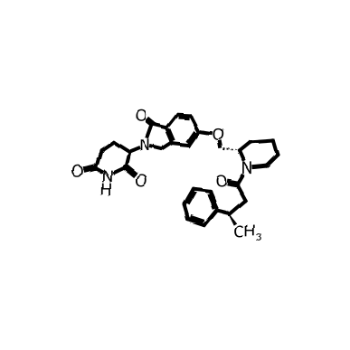 C[C@H](CC(=O)N1CCCC[C@H]1COc1ccc2c(c1)CN(C1CCC(=O)NC1=O)C2=O)c1ccccc1